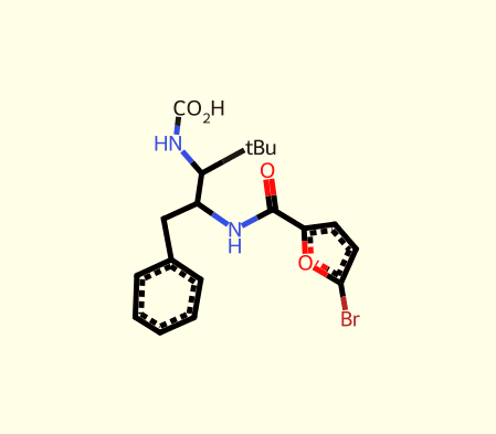 CC(C)(C)C(NC(=O)O)C(Cc1ccccc1)NC(=O)c1ccc(Br)o1